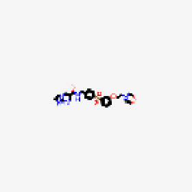 O=C(NCc1ccc(S(=O)(=O)c2cccc(OCCN3CCOCC3)c2)cc1)c1cnc2nccn2c1